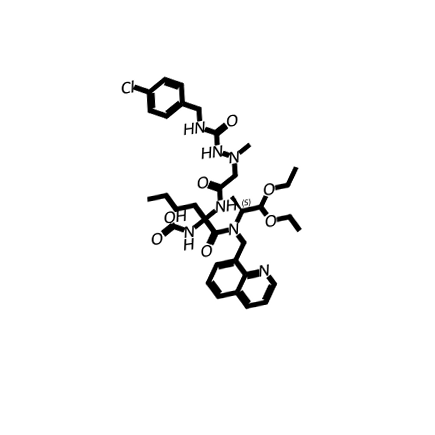 CCCCC(NC(=O)O)(NC(=O)CN(C)NC(=O)NCc1ccc(Cl)cc1)C(=O)N(Cc1cccc2cccnc12)[C@@H](C)C(OCC)OCC